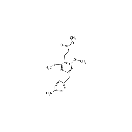 COC(=O)CCc1c(SC)nc(Cc2ccc(N)cc2)nc1SC